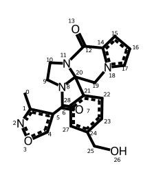 Cc1nocc1C(=O)N1CCN2C(=O)c3cccn3CC12c1ccc(CO)cc1